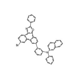 Brc1ccc2c(c1)c1cc(-c3cccc(N(c4ccccc4)c4ccc5ccccc5c4)c3)ccc1c1oc(-c3ccccc3)nc21